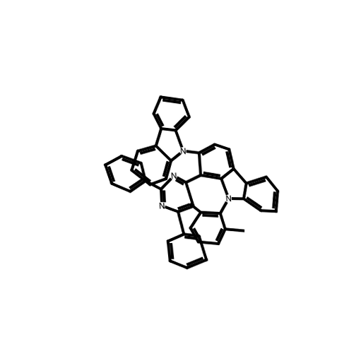 Cc1cccc(C)c1-n1c2ccccc2c2ccc(-n3c4ccccc4c4ccccc43)c(-c3cc(-c4ccccc4)nc(-c4ccccc4)n3)c21